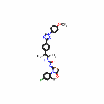 C/C(NC(=O)/N=C1\SCC(=O)N1c1ccc(F)cc1C(C)C)=C(/C)c1ccc(-c2ncn(-c3ccc(OC(F)(F)F)cc3)n2)cc1